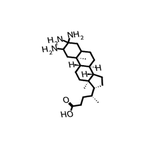 C[C@H](CCC(=O)O)[C@H]1CC[C@H]2[C@@H]3CCC4CC(N)(N)C(N)C[C@]4(C)[C@H]3CC[C@]12C